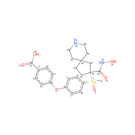 C[SH](=O)(c1ccc(Oc2ccc(C(=O)O)cc2)cc1)C1(C(=O)NO)CCC2(CCNCC2)C1